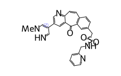 CN/C=C(\C=N)c1cnc2ccc3ccc(CS(=O)(=O)NCc4ccccn4)cc3c(=O)c2c1